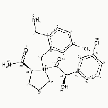 NCc1ccc(Cl)cc1C[N+]1(C(=O)[C@H](O)c2cccc(Cl)c2)CCC[C@H]1C(N)=O